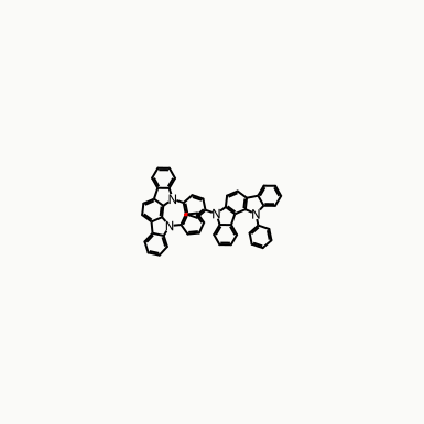 c1ccc(-n2c3ccccc3c3ccc4c(c5ccccc5n4-c4ccc(-n5c6ccccc6c6ccc7c8ccccc8n(-c8ccccc8)c7c65)cc4)c32)cc1